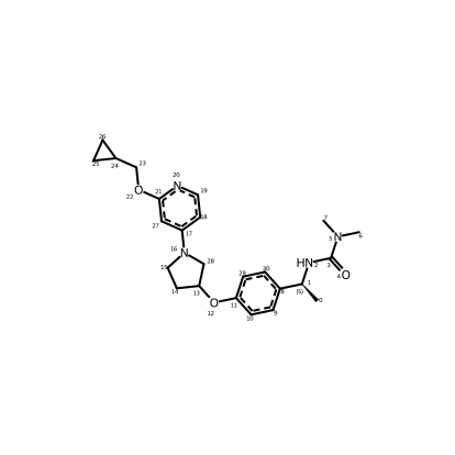 C[C@H](NC(=O)N(C)C)c1ccc(OC2CCN(c3ccnc(OCC4CC4)c3)C2)cc1